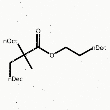 CCCCCCCCCCCCOC(=O)C(C)(CCCCCCCC)CCCCCCCCCCC